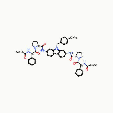 COC(=O)N[C@@H](C(=O)N1CCC[C@H]1C(=O)Nc1ccc2c3ccc(NC(=O)[C@@H]4CCCN4C(=O)[C@H](NC(=O)OC)c4ccccc4)cc3n(Cc3ccc(OC)cc3)c2c1)c1ccccc1